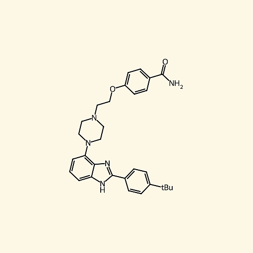 CC(C)(C)c1ccc(-c2nc3c(N4CCN(CCOc5ccc(C(N)=O)cc5)CC4)cccc3[nH]2)cc1